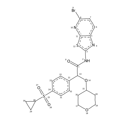 O=C(Nc1nc2ccc(Br)nc2s1)C(OC1CCOCC1)c1ccc(S(=O)(=O)C2CC2)cc1